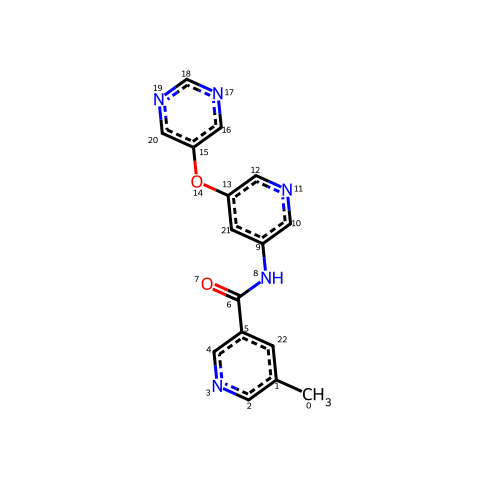 Cc1cncc(C(=O)Nc2cncc(Oc3cncnc3)c2)c1